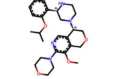 COc1c(N2CCOCC2)ncc2c1COC[C@@H]2N1CCN[C@H](c2ccccc2OC(C)C)C1